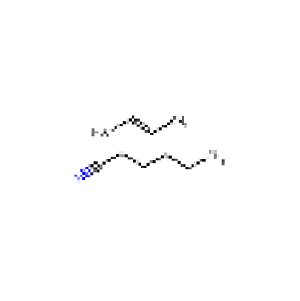 CC=CC.CCCCCC#N